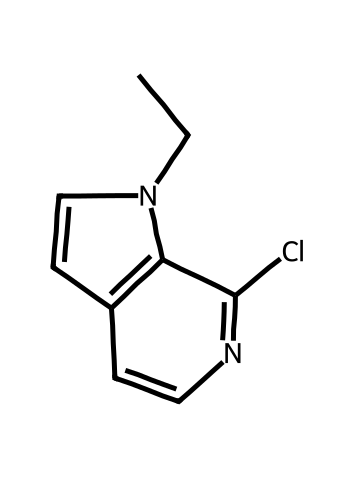 CCn1ccc2ccnc(Cl)c21